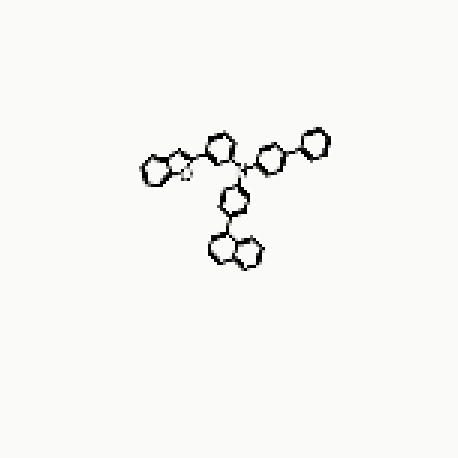 c1ccc(-c2ccc(N(c3ccc(-c4cccc5ccccc45)cc3)c3cccc(-c4cc5ccccc5o4)c3)cc2)cc1